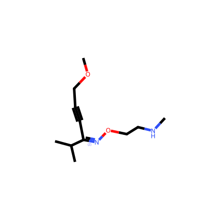 CNCCO/N=C(\C#CCOC)C(C)C